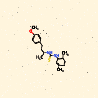 COc1ccc(CCC(C)NC(=S)Nc2cc(C)ccc2C)cc1